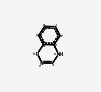 [c]1ccc2c(c1)ON=CN2